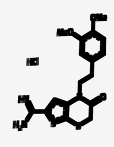 COc1ccc(CCN2C(=O)CSc3sc(C(=N)N)cc32)cc1OC.Cl